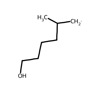 [CH2]C(C)CCCCO